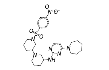 O=[N+]([O-])c1ccc(S(=O)(=O)N2CCCC(N3CCCC(Nc4nccc(N5CCCCCC5)n4)C3)C2)cc1